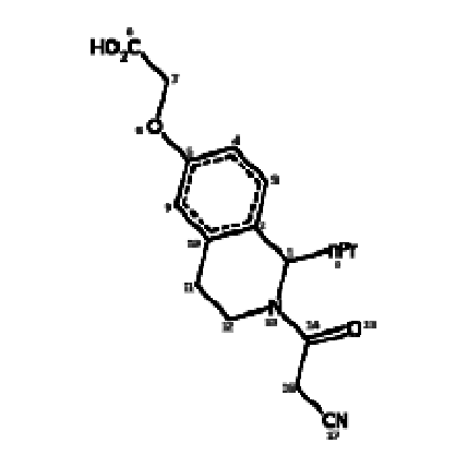 CCCC1c2ccc(OCC(=O)O)cc2CCN1C(=O)CC#N